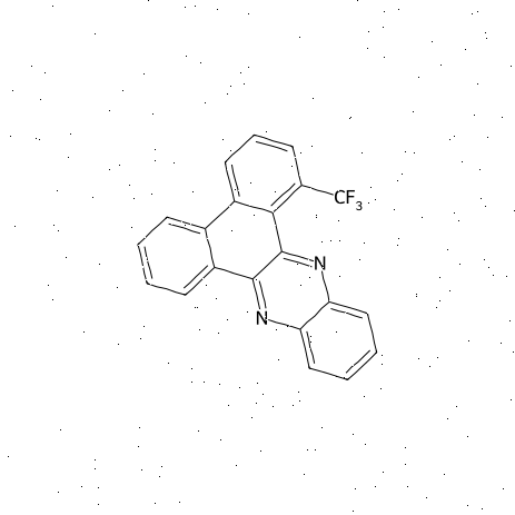 FC(F)(F)c1cccc2c3ccccc3c3nc4ccccc4nc3c12